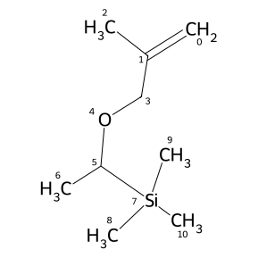 C=C(C)COC(C)[Si](C)(C)C